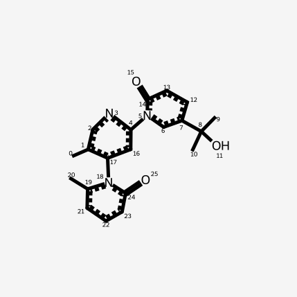 Cc1cnc(-n2cc(C(C)(C)O)ccc2=O)cc1-n1c(C)cccc1=O